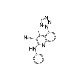 Cc1c(C#N)c(Nc2ccccc2)nc2cccc(-n3ncnn3)c12